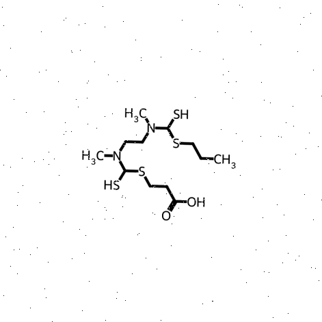 CCCSC(S)N(C)CCN(C)C(S)SCCC(=O)O